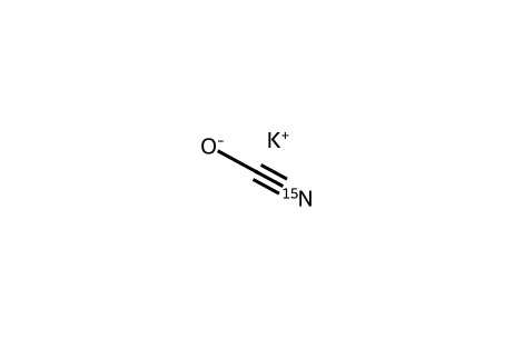 [15N]#C[O-].[K+]